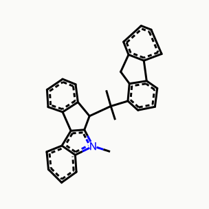 Cn1c2c(c3ccccc31)-c1ccccc1C2C(C)(C)c1cccc2c1Cc1ccccc1-2